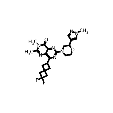 Cc1nc2c(C3CC4(C3)CC(F)(F)C4)nc(N3CCOC(c4cnn(C)c4)C3)nc2c(=O)n1C